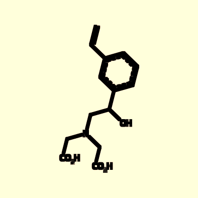 C=Cc1cccc(C(O)CN(CC(=O)O)CC(=O)O)c1